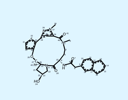 CN1CC[C@H](NC(=O)Cc2ccc3ccccc3c2)C(=O)N2C[C@@H](O)C[C@H]2COc2ccsc2-c2cc(n(C)n2)C1=O